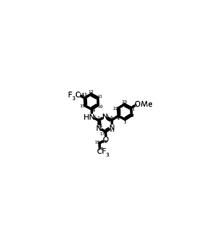 COc1ccc(-c2nc(Nc3cccc(C(F)(F)F)c3)nc(OCC(F)(F)F)n2)cc1